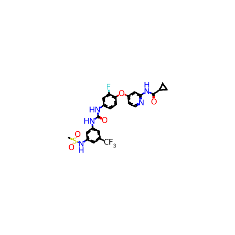 CS(=O)(=O)Nc1cc(NC(=O)Nc2ccc(Oc3ccnc(NC(=O)C4CC4)c3)c(F)c2)cc(C(F)(F)F)c1